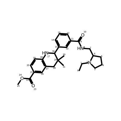 CCN1CCCC1CNC(=O)c1cccc(C2Nc3ccc(C(=O)OC)cc3CC2(C)C)c1